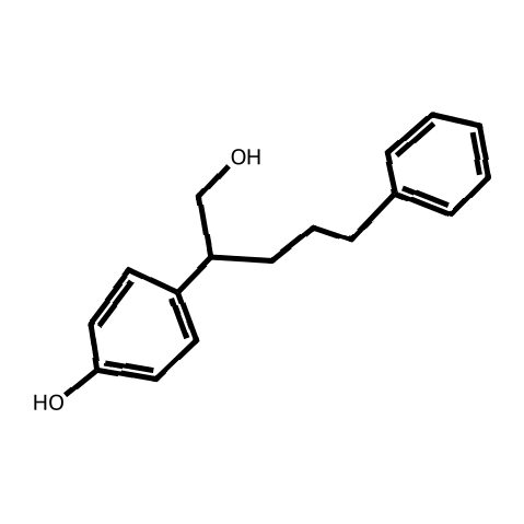 OCC(CCCc1ccccc1)c1ccc(O)cc1